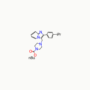 CCCCOC(=O)N1CCN(Cc2c(-c3ccc(C(C)C)cc3)nc3ccccn23)CC1